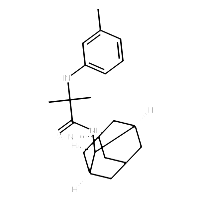 CC(=O)N[C@@]12CC3C[C@H](C1)[C@H](NC(=O)C(C)(C)Nc1cccc(C)c1)[C@@H](C3)C2